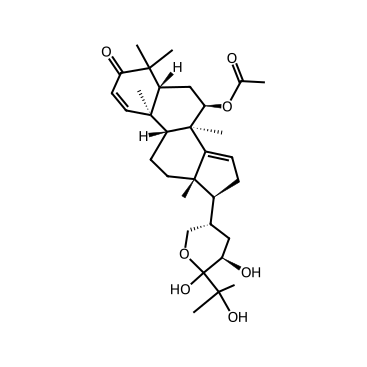 CC(=O)O[C@@H]1C[C@H]2C(C)(C)C(=O)C=C[C@]2(C)[C@H]2CC[C@]3(C)C(=CC[C@H]3[C@H]3COC(O)(C(C)(C)O)[C@H](O)C3)[C@@]21C